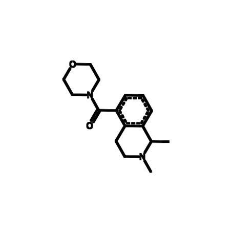 CC1c2cccc(C(=O)N3CCOCC3)c2CCN1C